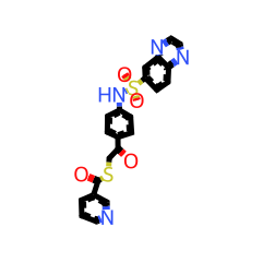 O=C(CSC(=O)c1cccnc1)c1ccc(NS(=O)(=O)c2ccc3nccnc3c2)cc1